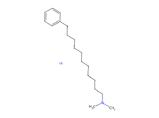 CN(C)CCCCCCCCCCCc1ccccc1.I